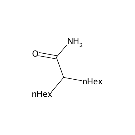 [CH2]CCCCCC(CCCCCC)C(N)=O